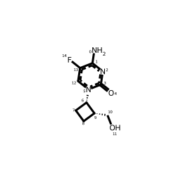 Nc1nc(=O)n([C@H]2CC[C@H]2CO)cc1F